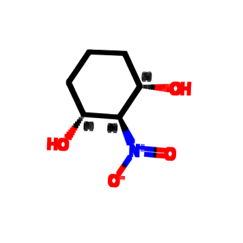 O=[N+]([O-])[C@H]1[C@H](O)CCC[C@@H]1O